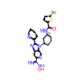 N=C(NO)c1cc2nc(-c3ccccn3)n([C@@H]3CCC[C@H](NC(=O)c4ccc(Br)s4)C3)c2cn1